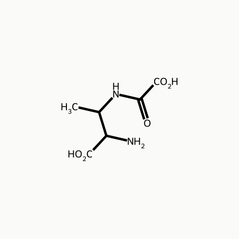 CC(NC(=O)C(=O)O)C(N)C(=O)O